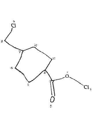 O=C(OCl)C1CCC(CCl)CC1